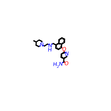 CC1CCN(CCNCc2ccc(Oc3ccc(C(N)=O)cn3)c3ccccc23)CC1